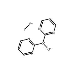 CCI.[O-][S+](c1ncccn1)c1ncccn1